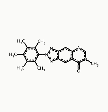 Cc1c(C)c(C)c(-n2nc3cc4ncn(C)c(=O)c4cc3n2)c(C)c1C